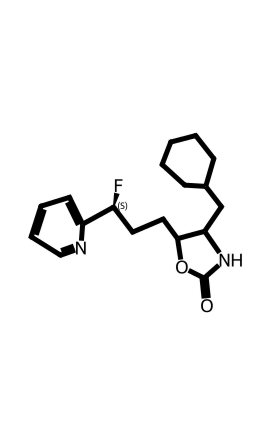 O=C1NC(CC2CCCCC2)C(CC[C@H](F)c2ccccn2)O1